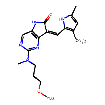 CCCCOCCCN(C)c1ncc2c(n1)/C(=C/c1[nH]c(C)cc1C(=O)OCC)C(=O)N2